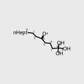 CCCCCCCCCC(=O)CCCC(O)(O)O